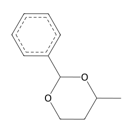 CC1CCOC(c2ccccc2)O1